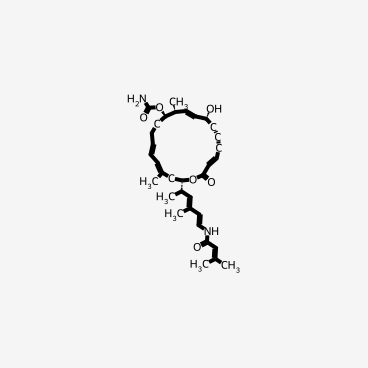 CC(C)=CC(=O)N/C=C/C(C)=C/C(C)[C@@H]1C/C(C)=C/C=C/CC[C@@H](OC(N)=O)[C@H](C)/C=C/[C@H](O)CCC/C=C/C(=O)O1